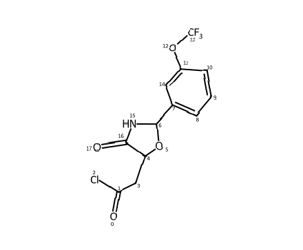 O=C(Cl)CC1OC(c2cccc(OC(F)(F)F)c2)NC1=O